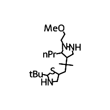 CCCC1C(C(C)(C)CC2CNC(C(C)(C)C)S2)CNN1CCOC